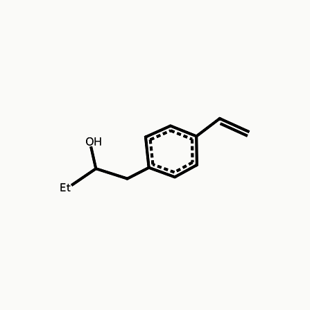 C=Cc1ccc(CC(O)CC)cc1